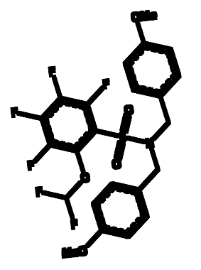 COc1ccc(CN(Cc2ccc(OC)cc2)S(=O)(=O)c2c(F)c(F)c(F)c(F)c2OC(F)F)cc1